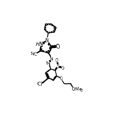 COCCOC1=CC(Cl)=CC(N=Nc2c(C#N)[nH]n(-c3ccccc3)c2=O)C1=S(=O)=O